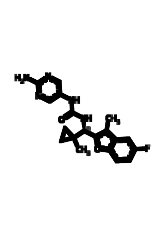 Cc1c([C@H](NC(=O)Nc2cnc(N)nc2)C2(C)CC2)oc2ccc(F)cc12